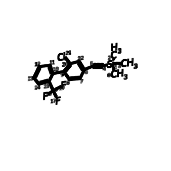 C[Si](C)(C)C#Cc1ccc(-c2ccccc2C(F)(F)F)c(Cl)c1